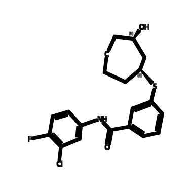 O=C(Nc1ccc(F)c(Cl)c1)c1cccc(S[C@H]2CCCC[C@@H](O)C2)c1